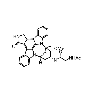 CO[C@@H]1[C@H](N(C)C(=O)CNC(C)=O)C[C@H]2O[C@]1(C)n1c3ccccc3c3c4c(c5c6ccccc6n2c5c31)C(=O)NC4